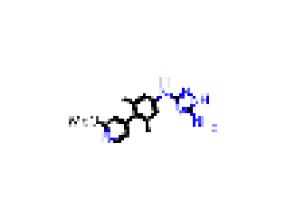 COc1cc(-c2c(C)cc(Nc3n[nH]c(N)n3)cc2C)ccn1